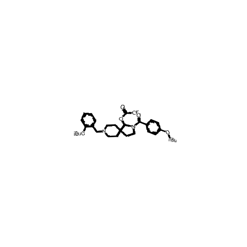 CCCCOc1ccc(C(=O)N2CCC3(CCN(Cc4ccccc4OCC(C)C)CC3)C2OC(=O)C(F)(F)F)cc1